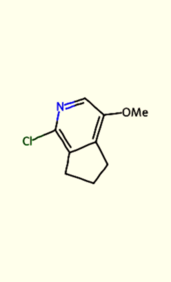 COc1cnc(Cl)c2c1CCC2